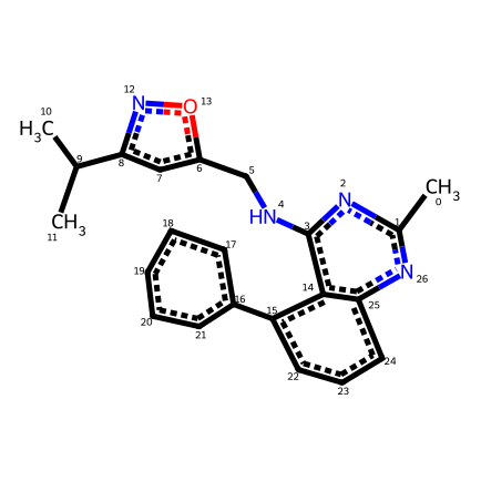 Cc1nc(NCc2cc(C(C)C)no2)c2c(-c3ccccc3)cccc2n1